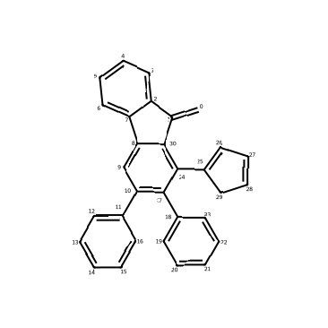 C=C1c2ccccc2-c2cc(-c3ccccc3)c(-c3ccccc3)c(C3=CC=CC3)c21